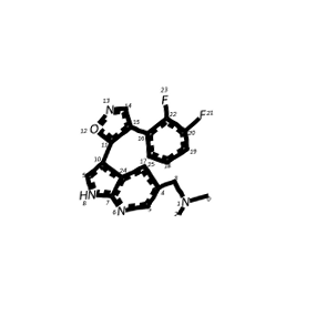 CN(C)Cc1cnc2[nH]cc(-c3oncc3-c3cccc(F)c3F)c2c1